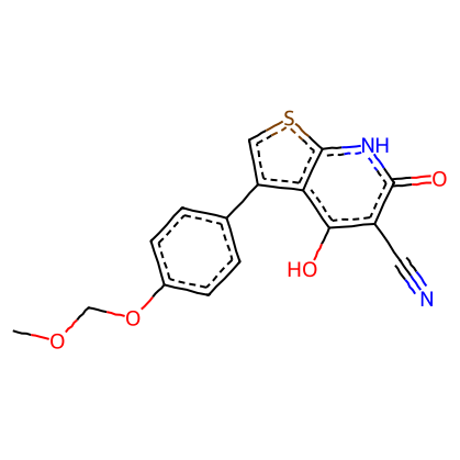 COCOc1ccc(-c2csc3[nH]c(=O)c(C#N)c(O)c23)cc1